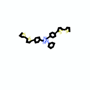 c1ccc(-n2nc(-c3ccc(-c4ccc(-c5cccs5)s4)cc3)nc2-c2ccc(-c3ccc(-c4cccs4)s3)cc2)cc1